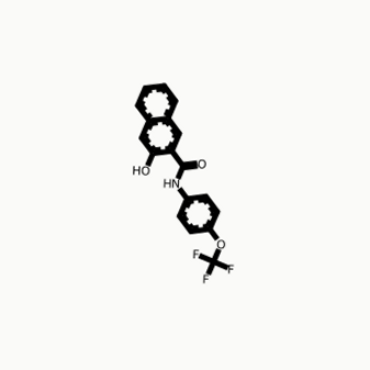 O=C(Nc1ccc(OC(F)(F)F)cc1)c1cc2ccccc2cc1O